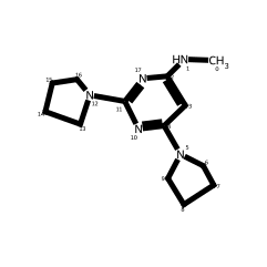 CNc1cc(N2CCCC2)nc(N2CCCC2)n1